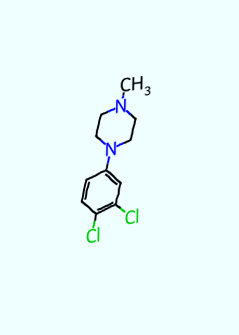 CN1CCN(c2ccc(Cl)c(Cl)c2)CC1